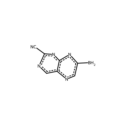 Bc1cnc2cnc(C#N)nc2n1